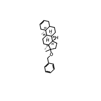 CC1(OCc2ccccc2)CC[C@H]2[C@@H]3CCC4CC=CC[C@]4(C)[C@@H]3CC[C@@]21C